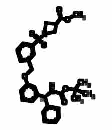 COC(=O)C1CN(S(=O)(=O)c2cccc(COc3cccc([C@@H](NC(=O)OC(C)(C)C)c4ccccc4)c3)c2)C1